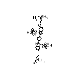 CN(C)CCCOc1ccc2nc(-c3ccc(-c4nc5ccc(OCCCN(C)C)cc5n4COP(=O)(O)O)cc3)n(COP(=O)(O)O)c2c1